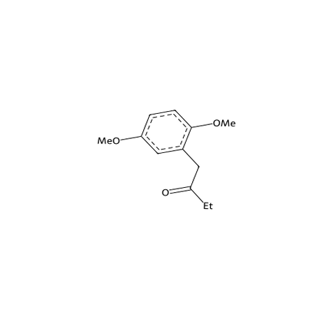 CCC(=O)Cc1cc(OC)ccc1OC